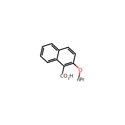 CCCOc1ccc2ccccc2c1C(=O)O